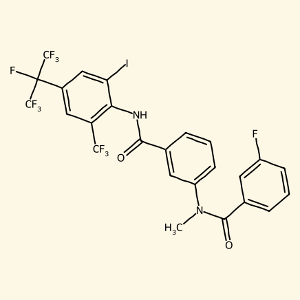 CN(C(=O)c1cccc(F)c1)c1cccc(C(=O)Nc2c(I)cc(C(F)(C(F)(F)F)C(F)(F)F)cc2C(F)(F)F)c1